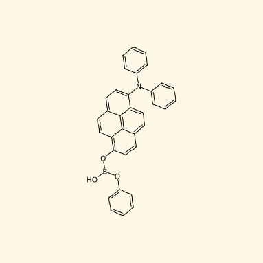 OB(Oc1ccccc1)Oc1ccc2ccc3c(N(c4ccccc4)c4ccccc4)ccc4ccc1c2c43